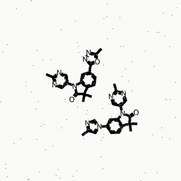 Cc1cn(-c2ccc3c(c2)N(c2cnc(C)nc2)C(=O)C3(C)C)cn1.Cc1ncc(N2C(=O)C(C)(C)c3ccc(-c4nnc(C)o4)cc32)cn1